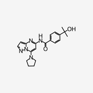 CC(C)(O)c1ccc(C(=O)Nc2cc(N3CCCC3)n3nccc3n2)cc1